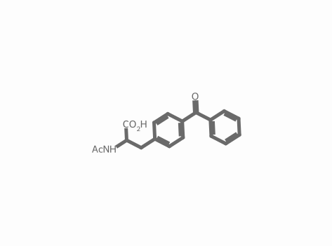 CC(=O)NC(Cc1ccc(C(=O)c2ccccc2)cc1)C(=O)O